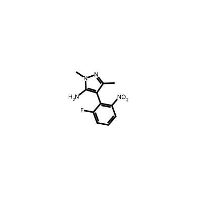 Cc1nn(C)c(N)c1-c1c(F)cccc1[N+](=O)[O-]